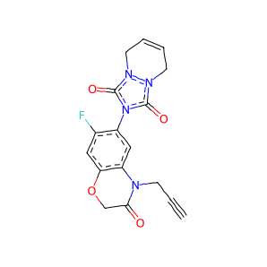 C#CCN1C(=O)COc2cc(F)c(-n3c(=O)n4n(c3=O)CC=CC4)cc21